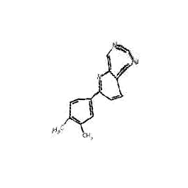 Cc1ccc(-c2ccc3ncncc3n2)cc1C